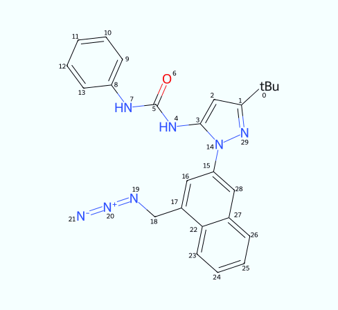 CC(C)(C)c1cc(NC(=O)Nc2ccccc2)n(-c2cc(CN=[N+]=[N-])c3ccccc3c2)n1